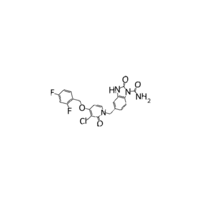 NC(=O)n1c(=O)[nH]c2cc(Cn3ccc(OCc4ccc(F)cc4F)c(Cl)c3=O)ccc21